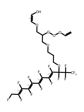 C=COOOC(CO/C=C\O)COCCCOC(F)(/C(F)=C(F)/C(F)=C(F)/C(F)=C(F)/C(F)=C(\F)CF)C(F)(F)C(F)(F)F